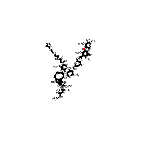 CCN(CC(=O)NCCOCCOCCN)[C@H]1CO[C@@H](O[C@H]2[C@H](O[C@H]3C#C/C=C/C#C[C@]4(O)CC(=O)C(NC(=O)OC)=C3/C4=C\CSSC(C)(C)CC(=O)NN)O[C@H](C)[C@@H](NO[C@H]3C[C@H](O)[C@H](SC(=O)c4c(C)c(I)c(O[C@@H]5O[C@@H](C)[C@H](O)[C@@H](OC)[C@H]5O)c(OC)c4OC)[C@@H](C)O3)[C@@H]2O)C[C@@H]1OC